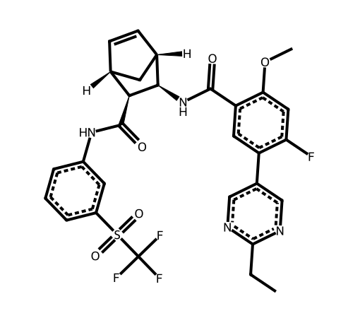 CCc1ncc(-c2cc(C(=O)N[C@H]3[C@@H](C(=O)Nc4cccc(S(=O)(=O)C(F)(F)F)c4)[C@@H]4C=C[C@H]3C4)c(OC)cc2F)cn1